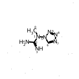 CN(C(=N)N)n1cnnn1